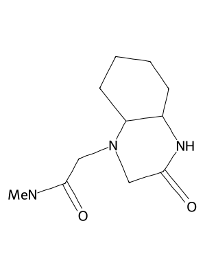 CNC(=O)CN1CC(=O)NC2CCCCC21